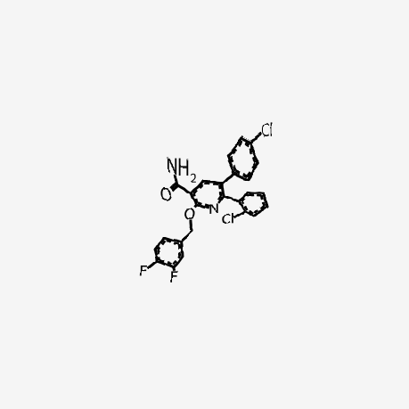 NC(=O)c1cc(-c2ccc(Cl)cc2)c(-c2ccccc2Cl)nc1OCc1ccc(F)c(F)c1